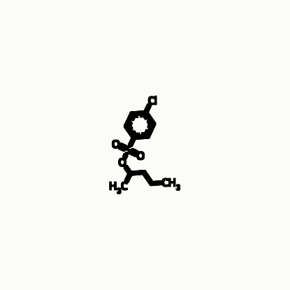 CCCC(C)OS(=O)(=O)c1ccc(Cl)cc1